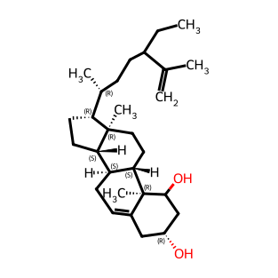 C=C(C)C(CC)CC[C@@H](C)[C@H]1CC[C@H]2[C@@H]3CC=C4C[C@@H](O)CC(O)[C@]4(C)[C@H]3CC[C@]12C